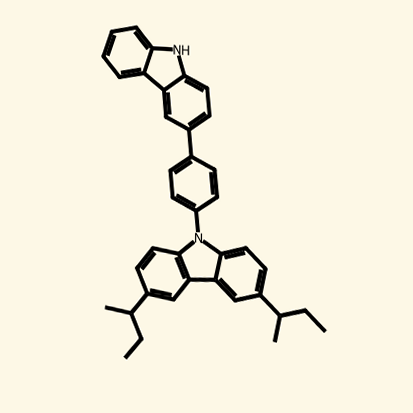 CCC(C)c1ccc2c(c1)c1cc(C(C)CC)ccc1n2-c1ccc(-c2ccc3[nH]c4ccccc4c3c2)cc1